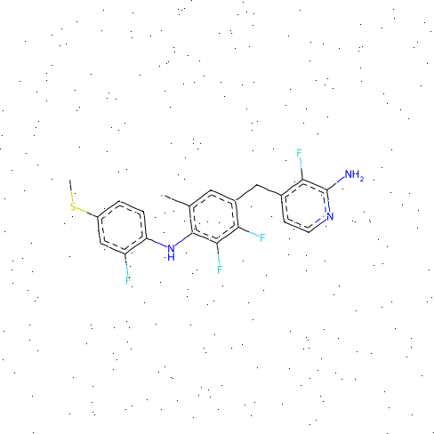 [CH2]c1cc(Cc2ccnc(N)c2F)c(F)c(F)c1Nc1ccc(SC)cc1F